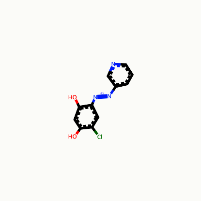 Oc1cc(O)c(/N=N/c2cccnc2)cc1Cl